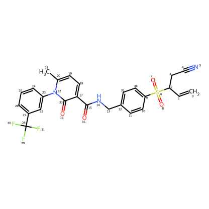 C=CC(CC#N)S(=O)(=O)c1ccc(CNC(=O)c2ccc(C)n(-c3cccc(C(F)(F)F)c3)c2=O)cc1